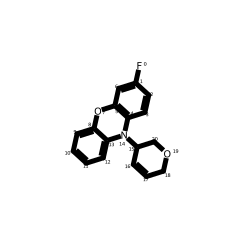 Fc1ccc2c(c1)Oc1ccccc1N2C1C=CCOC1